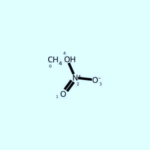 C.O=[N+]([O-])O